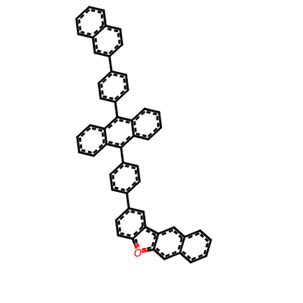 c1ccc2cc(-c3ccc(-c4c5ccccc5c(-c5ccc(-c6ccc7oc8cc9ccccc9cc8c7c6)cc5)c5ccccc45)cc3)ccc2c1